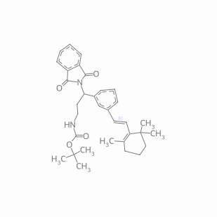 CC1=C(/C=C/c2cccc(C(CCNC(=O)OC(C)(C)C)N3C(=O)c4ccccc4C3=O)c2)C(C)(C)CCC1